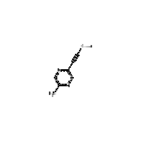 Nc1cnc(C#CSI)cn1